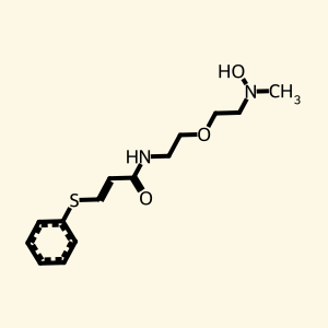 CN(O)CCOCCNC(=O)C=CSc1ccccc1